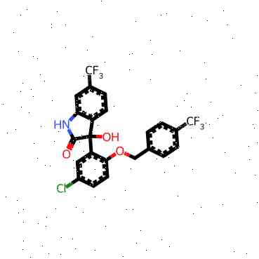 O=C1Nc2cc(C(F)(F)F)ccc2C1(O)c1cc(Cl)ccc1OCc1ccc(C(F)(F)F)cc1